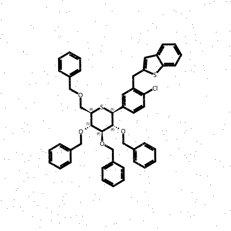 Clc1ccc([C@@H]2S[C@H](COCc3ccccc3)[C@@H](OCc3ccccc3)[C@H](OCc3ccccc3)[C@H]2OCc2ccccc2)cc1Cc1cc2ccccc2s1